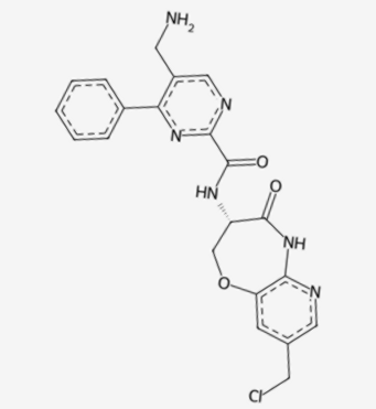 NCc1cnc(C(=O)N[C@H]2COc3cc(CCl)cnc3NC2=O)nc1-c1ccccc1